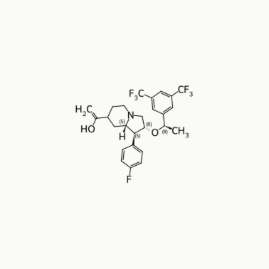 C=C(O)C1CCN2C[C@H](O[C@H](C)c3cc(C(F)(F)F)cc(C(F)(F)F)c3)[C@@H](c3ccc(F)cc3)[C@@H]2C1